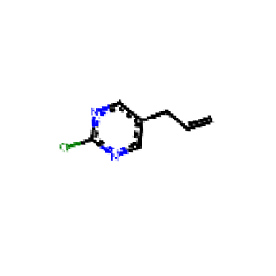 C=CCc1cnc(Cl)nc1